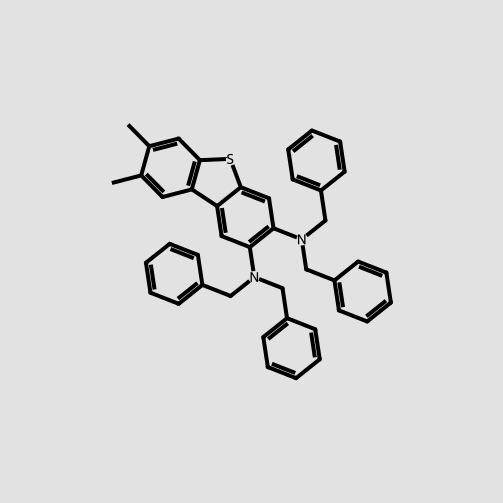 Cc1cc2sc3cc(N(Cc4ccccc4)Cc4ccccc4)c(N(Cc4ccccc4)Cc4ccccc4)cc3c2cc1C